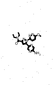 CCN(CC)C(=O)c1cc(-c2cnc(N)cn2)n(-c2ccc(OC)nn2)n1